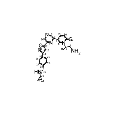 CC(CN)n1cc(-c2cncc(-c3cc(-c4ccc(CNC5CC5)cc4)no3)n2)ccc1=O